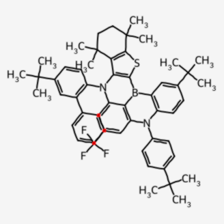 CC(C)(C)c1ccc(N2c3ccc(C(C)(C)C)cc3B3c4sc5c(c4N(c4ccc(C(C)(C)C)cc4-c4ccccc4)c4cc(C(F)(F)F)cc2c43)C(C)(C)CCC5(C)C)cc1